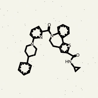 O=C(NC1CC1)c1cc2c(s1)-c1ccccc1N(C(=O)c1cccc(N3CCC(c4ccccc4)CC3)n1)CC2